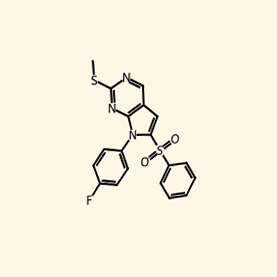 CSc1ncc2cc(S(=O)(=O)c3ccccc3)n(-c3ccc(F)cc3)c2n1